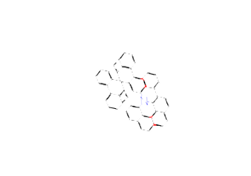 c1ccc(-c2ccc3ccccc3c2N(c2ccc3c(c2)C2(c4ccccc4-c4cccc5cccc2c45)c2cccc4cccc-3c24)c2cccc3ccccc23)cc1